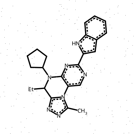 CCC1c2nnc(C)n2-c2cnc(-c3cc4ccccc4[nH]3)nc2N1C1CCCC1